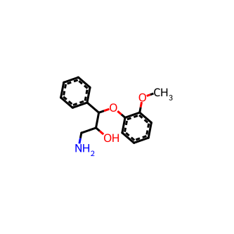 COc1ccccc1OC(c1ccccc1)C(O)CN